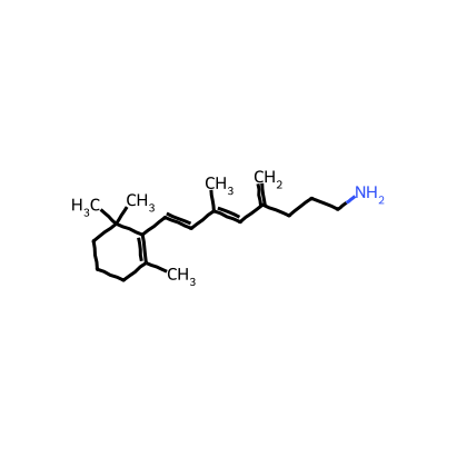 C=C(/C=C(C)/C=C/C1=C(C)CCCC1(C)C)CCCN